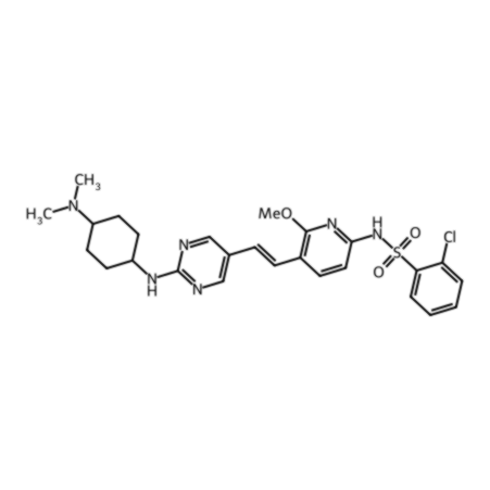 COc1nc(NS(=O)(=O)c2ccccc2Cl)ccc1/C=C/c1cnc(NC2CCC(N(C)C)CC2)nc1